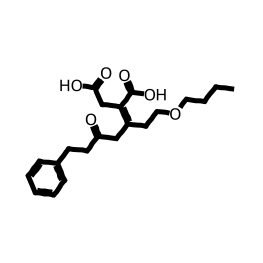 CCCCOCCC(CC(=O)CCc1ccccc1)=C(CC(=O)O)C(=O)O